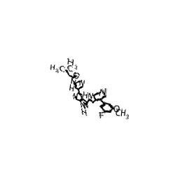 COc1cc(F)cc(-c2cncc3[nH]c(-c4n[nH]c5cnc(-c6cncc(NC(=O)CC(C)C)c6)cc45)cc23)c1